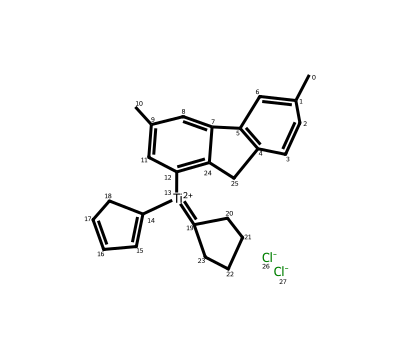 Cc1ccc2c(c1)-c1cc(C)c[c]([Ti+2]([C]3=CC=CC3)=[C]3CCCC3)c1C2.[Cl-].[Cl-]